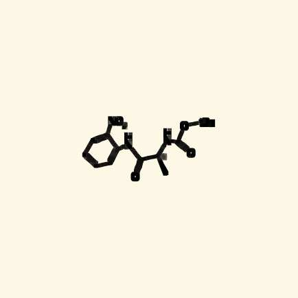 C[C@H](NC(=O)OC(C)(C)C)C(=O)Nc1ccccc1[N+](=O)[O-]